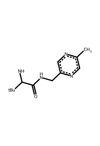 Cc1cnc(CNC(=O)C([NH])C(C)(C)C)cn1